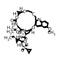 C=C[C@@H]1CC1(NC(=O)[C@@H]1C[C@@H]2CN1C(=O)[C@H](C(C)(C)C)NC(=O)O[C@H]1C[C@@H]1CCCCCc1nc3ccc(OC)cc3cc1O2)C(=O)NS(=O)(=O)C1CC1